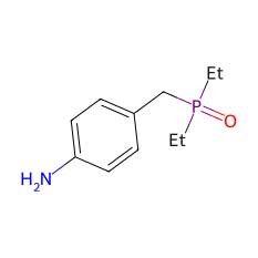 CCP(=O)(CC)Cc1ccc(N)cc1